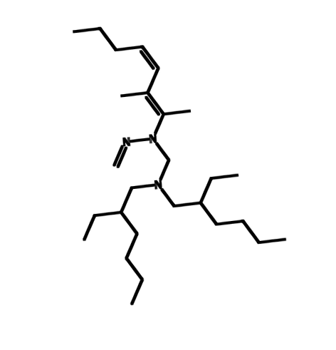 C=NN(CN(CC(CC)CCCC)CC(CC)CCCC)/C(C)=C(C)/C=C\CCC